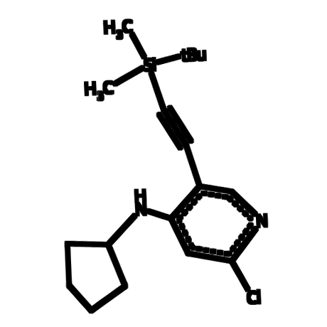 CC(C)(C)[Si](C)(C)C#Cc1cnc(Cl)cc1NC1CCCC1